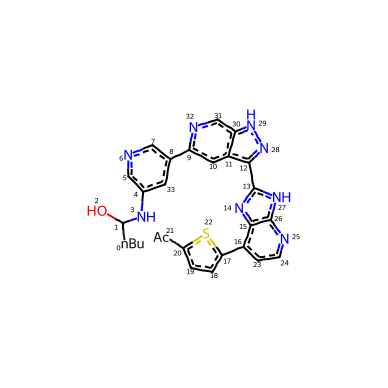 CCCCC(O)Nc1cncc(-c2cc3c(-c4nc5c(-c6ccc(C(C)=O)s6)ccnc5[nH]4)n[nH]c3cn2)c1